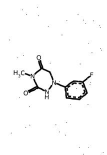 CN1C(=O)CN(c2cccc(F)c2)NC1=O